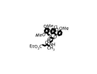 CCOC(=O)CCC(=O)C(C)NC(=O)C[C@@H]1O[C@@H](c2cccc(OC)c2OC)c2cc(Cl)ccc2N(Cc2ccc(OC)cc2OC)C1=O